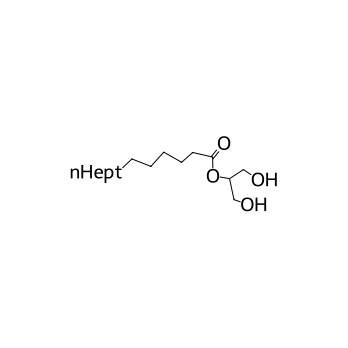 CCCCCCCCCCCCC(=O)OC(CO)CO